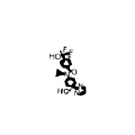 C[C@](O)(c1ccc(C(=O)N(C2CC2)[C@H]2CC[C@](CO)(c3ncccn3)CC2)cc1)C(F)(F)F